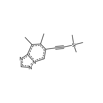 Cc1c(C#C[Si](C)(C)C)cn2ncnc2c1C